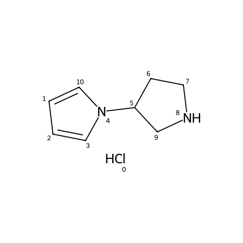 Cl.c1ccn(C2CCNC2)c1